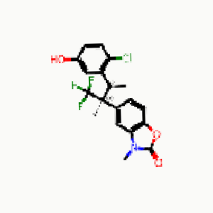 C[C@H](c1cc(O)ccc1Cl)[C@@](C)(c1ccc2oc(=O)n(C)c2c1)C(F)(F)F